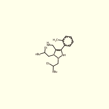 CCCCC(CC)CN1NC(c2ccccc2C)=C(CN)N1CC(CC)CCCC